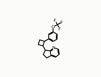 FC(F)(F)Oc1cccc([C]2CCC2C2CCc3cccnc32)c1